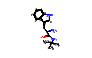 CC(C)(C)NC(=O)C(N)CC1CNc2ccccc21